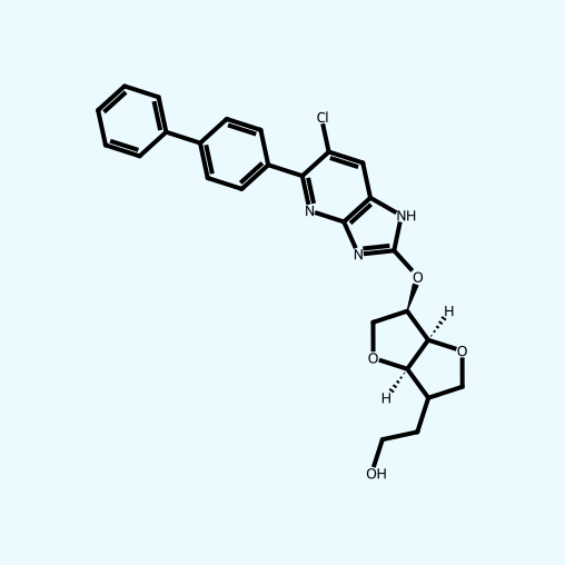 OCCC1CO[C@H]2[C@@H]1OC[C@H]2Oc1nc2nc(-c3ccc(-c4ccccc4)cc3)c(Cl)cc2[nH]1